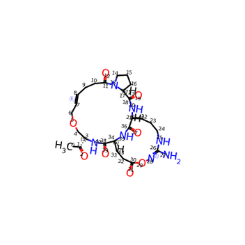 CC(=O)[C@@H]1COC/C=C/CCC(=O)N2CCC[C@H]2C(=O)N[C@H]2CCCN/C(N)=N\OC(=O)CC[C@H](NC2=O)C(=O)N1